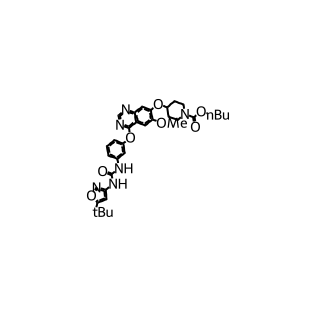 CCCCOC(=O)N1CCC(Oc2cc3ncnc(Oc4cccc(NC(=O)Nc5cc(C(C)(C)C)on5)c4)c3cc2OC)CC1